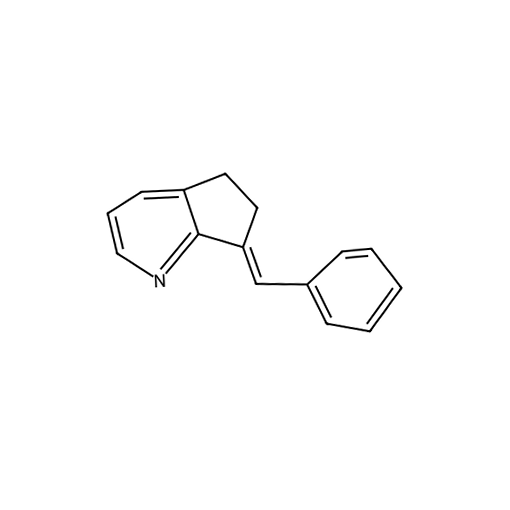 C(=C1/CCc2cccnc21)/c1ccccc1